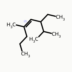 CCC/C(C)=C\C(CC)C(C)C